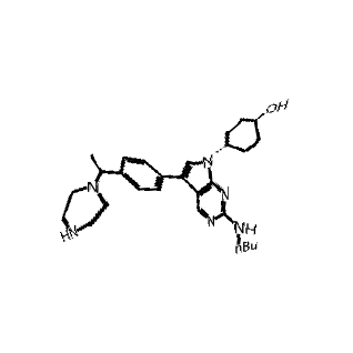 CCCCNc1ncc2c(-c3ccc(C(C)N4CCNCC4)cc3)cn([C@H]3CC[C@H](O)CC3)c2n1